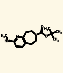 CNc1ccc2c(n1)CCN(C(=O)OC(C)(C)C)CC2